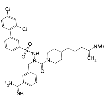 C=C(CCCC1CCN(C(=O)N(Cc2cccc(C(=N)N)c2)NS(=O)(=O)c2cccc(-c3ccc(Cl)cc3Cl)c2)CC1)NC